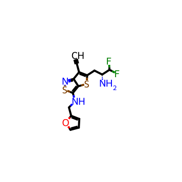 C#Cc1c(C[C@@H](N)C(F)F)sc2c(NCc3ccco3)snc12